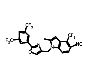 [C-]#[N+]c1ccc2c(cc(C)n2Cc2coc(-c3cc(C(F)(F)F)cc(C(F)(F)F)c3)n2)c1C(F)(F)F